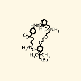 CC(C)(C)CC(C)(C)c1ccc(OCCOCC[N+](C)(C)Cc2ccccc2)cc1.CCCCNc1ccc(C(=O)OCCN(C)C)cc1.[Cl-]